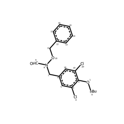 CCCCOc1c(Cl)cc(CN(C=O)OCc2ccccc2)cc1Cl